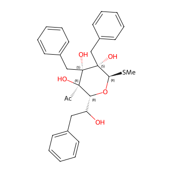 CS[C@H]1O[C@H](C(O)Cc2ccccc2)[C@](O)(C(C)=O)[C@@](O)(Cc2ccccc2)[C@@]1(O)Cc1ccccc1